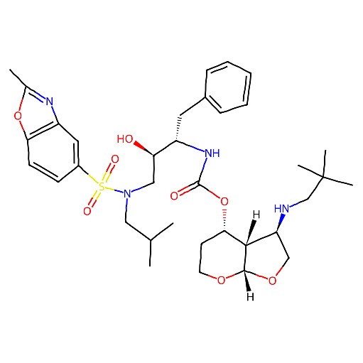 Cc1nc2cc(S(=O)(=O)N(CC(C)C)C[C@@H](O)[C@H](Cc3ccccc3)NC(=O)O[C@H]3CCO[C@H]4OC[C@H](NCC(C)(C)C)[C@H]43)ccc2o1